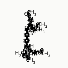 COC(=O)N[C@H](C(=O)N1C[C@@H](n2cc(COC(C)=O)nn2)CC1c1ncc(-c2ccc(-c3ccc(-c4cnc(C5C[C@H](n6cc(COC(C)=O)nn6)CN5C(=O)[C@@H](NC(=O)OC)C(C)C)[nH]4)cc3)cc2)[nH]1)C(C)C